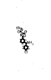 CC(C)(C)OC(=O)n1nc(-c2cccc([C@@H](N)c3ccc(Cl)cc3)c2)oc1=O